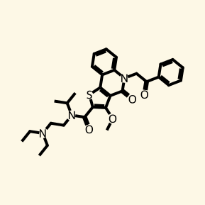 CCN(CC)CCN(C(=O)c1sc2c(c1OC)c(=O)n(CC(=O)c1ccccc1)c1ccccc21)C(C)C